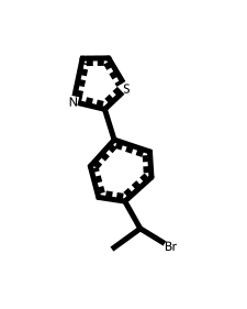 CC(Br)c1ccc(-c2nccs2)cc1